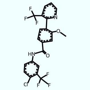 COc1cc(C(=O)Nc2ccc(Cl)c(C(F)(F)F)c2)ccc1-c1ncccc1C(F)(F)F